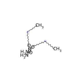 CCCCCCCC/C=C\CCCCCCCCOCC1CN(C(=O)[C@@H](N)CN)C[C@H]1COCCCCCCCC/C=C\CCCCCCCC